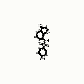 O=c1ccoc2c(NS(=O)(=O)c3ccc(O)cc3)cccc12